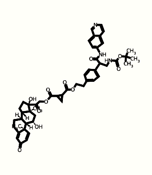 CC(C)(C)OC(=O)NCC(C(=O)Nc1ccc2cnccc2c1)c1ccc(CCOC(=O)C2CC2C(=O)OCC(=O)[C@@]2(O)CC[C@H]3[C@@H]4CCC5=CC(=O)C=C[C@]5(C)[C@H]4[C@@H](O)C[C@@]32C)cc1